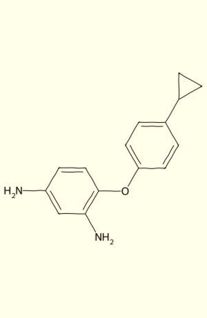 Nc1ccc(Oc2ccc(C3CC3)cc2)c(N)c1